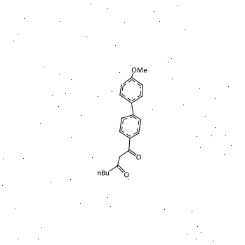 CCCCC(=O)CC(=O)c1ccc(-c2ccc(OC)cc2)cc1